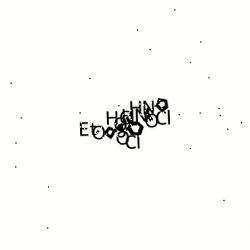 CCOC1CC(S(=O)(=O)c2c(Cl)ccc(NC(=O)N[C@@H]3CCC=C3Cl)c2O)C1